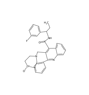 CCC(NC(=O)c1c(CN2CC[O+]([O-])CC2)c(-c2ccccc2)nc2ccccc12)c1cccc(F)c1